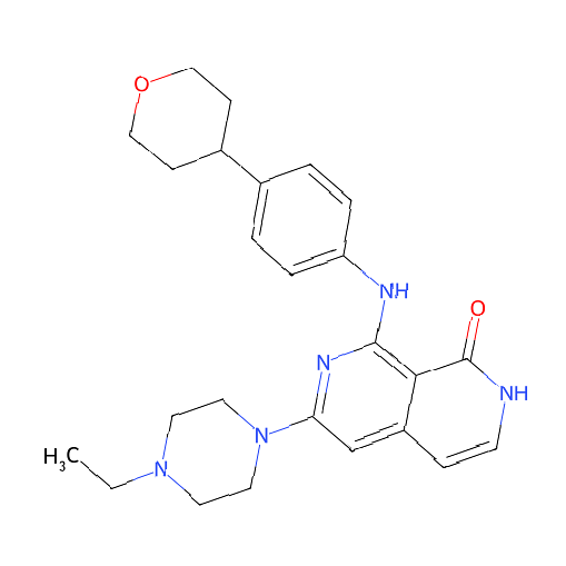 CCN1CCN(c2cc3cc[nH]c(=O)c3c(Nc3ccc(C4CCOCC4)cc3)n2)CC1